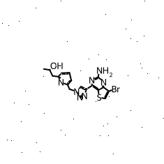 CC(O)Cc1cccc(Cn2cc(-c3nc(N)nc4c(Br)csc34)nn2)n1